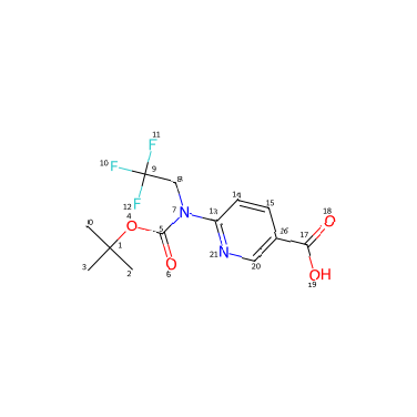 CC(C)(C)OC(=O)N(CC(F)(F)F)c1ccc(C(=O)O)cn1